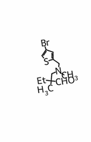 CCC(C)(C=O)CN(C)Cc1cc(Br)cs1